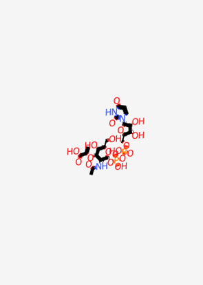 C=C(O[C@H]1[C@H](O)[C@@H](CO)O[C@H](OP(=O)(O)OP(=O)(O)OC[C@H]2O[C@@H](n3ccc(=O)[nH]c3=O)[C@H](O)[C@@H]2O)[C@@H]1NC(C)=O)C(=O)O